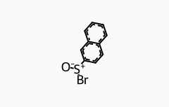 [O-][S+](Br)c1ccc2ccccc2c1